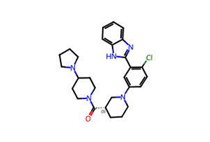 O=C([C@H]1CCCN(c2ccc(Cl)c(-c3nc4ccccc4[nH]3)c2)C1)N1CCC(N2CCCC2)CC1